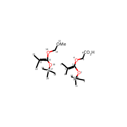 CC(C)=C(OCC(=O)O)O[Si](C)(C)C.COCOC(O[Si](C)(C)C)=C(C)C